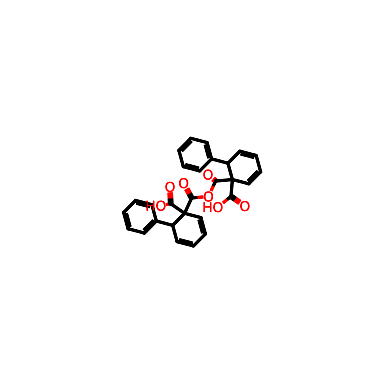 O=C(O)C1(C(=O)OC(=O)C2(C(=O)O)C=CC=CC2c2ccccc2)C=CC=CC1c1ccccc1